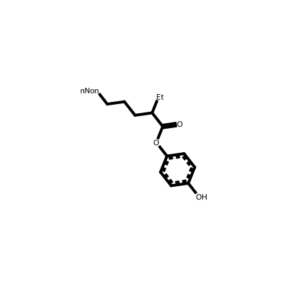 CCCCCCCCCCCCC(CC)C(=O)Oc1ccc(O)cc1